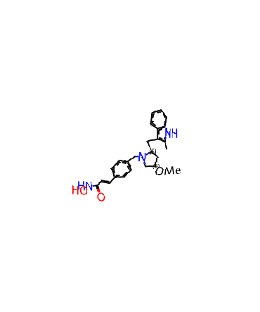 CO[C@H]1C[C@H](Cc2c(C)[nH]c3ccccc23)N(Cc2ccc(C=CC(=O)NO)cc2)C1